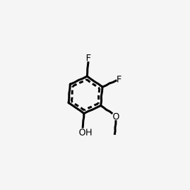 COc1c(O)ccc(F)c1F